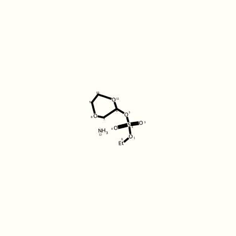 CCOS(=O)(=O)OC1COCCO1.N